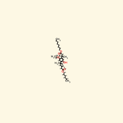 CCCCCCCCOC(=O)CC(C)(C)c1cc(O)c(C(C)(C)CCCC(=O)OCCCCCC)cc1OCC